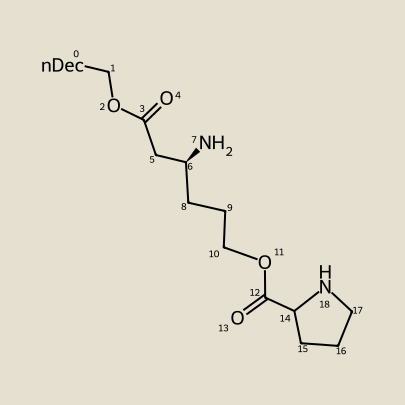 CCCCCCCCCCCOC(=O)C[C@@H](N)CCCOC(=O)C1CCCN1